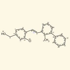 Cc1c(/C=C/c2ccc(CO)cc2Cl)cccc1-c1ccccc1